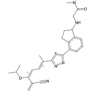 C=C(C#N)/C(=C\C=C(/C)c1nnc(-c2cccc3c2CCC3NCC(=O)N(C)C)s1)OC(C)C